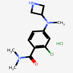 CN(C)C(=O)c1ccc(N(C)C2CNC2)cc1Cl.Cl